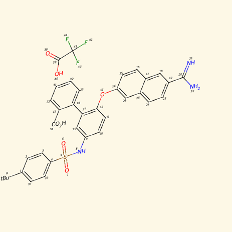 CC(C)(C)c1ccc(S(=O)(=O)Nc2ccc(Oc3ccc4cc(C(=N)N)ccc4c3)c(-c3ccccc3C(=O)O)c2)cc1.O=C(O)C(F)(F)F